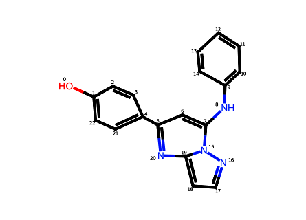 Oc1ccc(-c2cc(Nc3ccccc3)n3nccc3n2)cc1